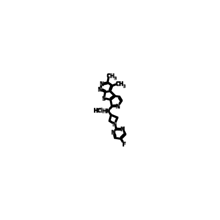 Cc1nnc2sc3c(NC4CN(c5ncc(F)cn5)C4)nccc3c2c1C.Cl